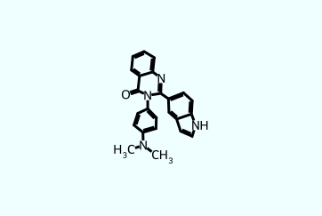 CN(C)c1ccc(-n2c(-c3ccc4[nH]ccc4c3)nc3ccccc3c2=O)cc1